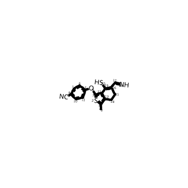 Cc1sc(Oc2ccc(C#N)cc2)c2c1CCC(C=N)=C2S